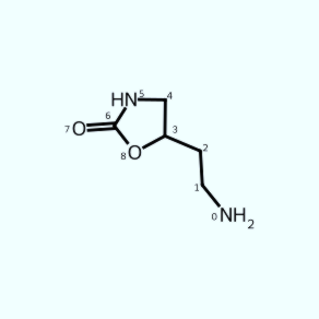 NCCC1CNC(=O)O1